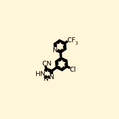 N#Cc1[nH]nnc1-c1cc(Cl)cc(-c2cc(C(F)(F)F)ccn2)c1